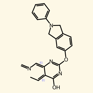 C=N/C=c1/nc(Oc2ccc3c(c2)CN(c2ccccc2)C3)nc(O)/c1=C/C